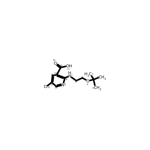 CC(C)(C)OCCNc1ncc(Cl)cc1C(=O)O